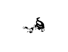 CCC1CC2CC(C)(OC)CC(C(=O)OC(COC=O)COC(C)(F)F)(C1)C2